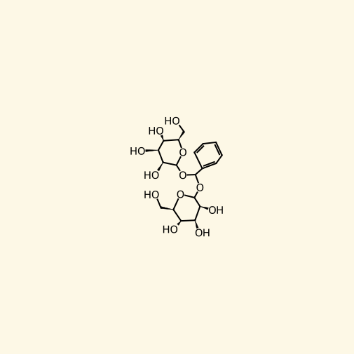 OC[C@H]1OC(OC(OC2O[C@H](CO)[C@H](O)[C@H](O)[C@@H]2O)c2ccccc2)[C@@H](O)[C@@H](O)[C@H]1O